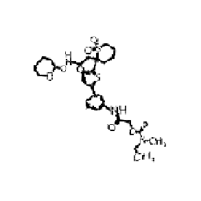 CCN(C)C(=O)OCC(=O)Nc1cccc(-c2ccc([C@@]3(CC(=O)NOC4CCCCO4)CCCCS3(=O)=O)s2)c1